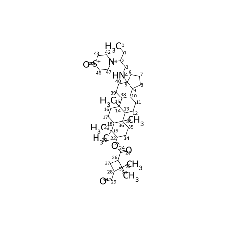 CCC(CNC12CCCC1C1CCC3C(C)(CCC4C(C)(C)C(OC(=O)C5CC(C=O)C5(C)C)CCC43C)C1CC2)N1CC[S+]([O-])CC1